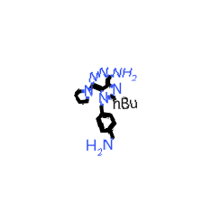 CCCCc1nc2c(N)nnc(N3CCCC3)c2n1Cc1ccc(CN)cc1